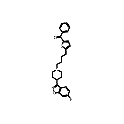 O=C(c1ccccc1)c1ccc(CCCCN2CCC(c3noc4cc(F)ccc34)CC2)s1